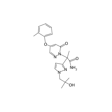 Cc1ccccc1Oc1cnn(C(C)(C(N)=O)c2ccn(CC(C)(C)O)n2)c(=O)c1